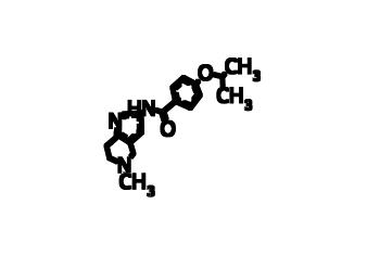 CC(C)Oc1ccc(C(=O)Nc2cnc3c(c2)CN(C)CC3)cc1